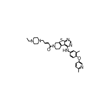 CCN1CCN(C/C=C/C(=O)N2CCc3c(sc4ncnc(Nc5ccc(Oc6ccc(C)nc6)c(C)c5)c34)C2)CC1